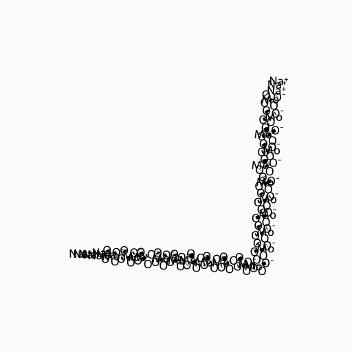 [Na+].[Na+].[Na+].[Na+].[Na+].[Na+].[Na+].[Na+].[Na+].[Na+].[O]=[Mo](=[O])([O-])[O-].[O]=[Mo](=[O])([O-])[O-].[O]=[Mo](=[O])([O-])[O-].[O]=[Mo](=[O])([O-])[O-].[O]=[Mo](=[O])([O-])[O-].[O]=[Mo](=[O])([O-])[O-].[O]=[Mo](=[O])([O-])[O-].[O]=[Mo](=[O])([O-])[O-].[O]=[Mo](=[O])([O-])[O-].[O]=[Mo](=[O])([O-])[O-].[O]=[Mo](=[O])([O-])[O-].[O]=[Mo](=[O])([O-])[O-].[O]=[Mo](=[O])([O-])[O-].[O]=[Mo](=[O])([O-])[O-].[O]=[Mo](=[O])([O-])[O-].[O]=[Mo](=[O])([O-])[O-].[O]=[Mo](=[O])([O-])[O-].[O]=[Mo](=[O])([O-])[O-].[O]=[Mo](=[O])([O-])[O-].[O]=[Mo](=[O])([O-])[O-]